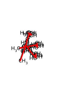 CCCCCCCCCCCCCCCC(=O)NCCCC[C@H](NC(=O)[C@H](CCCCNC(=O)COCCOCCOCCO[C@@H]1O[C@H](CO)[C@H](O)[C@H](O)[C@H]1NC(C)=O)NC(=O)[C@H](CCCCNC(=O)COCCOCCOCCO[C@@H]1O[C@H](CO)[C@H](O)[C@H](O)[C@H]1NC(C)=O)NC(=O)COCCOCCOCCO[C@@H]1O[C@H](CO)[C@H](O)[C@H](O)[C@H]1NC(C)=O)C(=O)NCCCCCCC